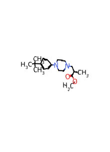 COC(=O)C(C)CN1CCN(c2ccc(C(C)(C)C)cc2)CC1